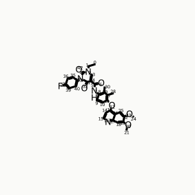 CCn1cc(C(=O)Nc2ccc(Oc3ccnc4cc(OC)c(OC)cc34)c(C)c2C)c(=O)n(-c2ccc(F)cc2)c1=O